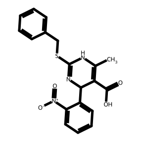 CC1=C(C(=O)O)C(c2ccccc2[N+](=O)[O-])N=C(SCc2ccccc2)N1